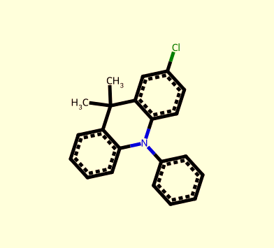 CC1(C)c2ccccc2N(c2ccccc2)c2ccc(Cl)cc21